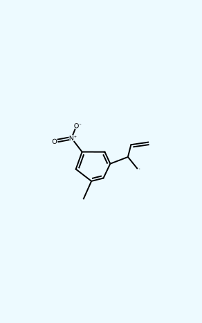 [CH2]C(C=C)c1cc(C)cc([N+](=O)[O-])c1